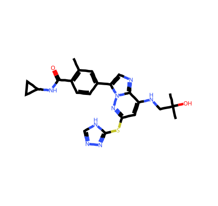 Cc1cc(-c2cnc3c(NCC(C)(C)O)cc(Sc4nnc[nH]4)nn23)ccc1C(=O)NC1CC1